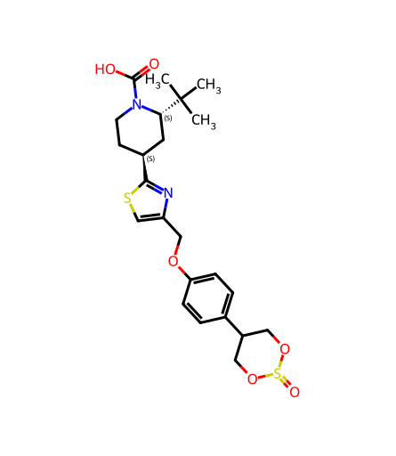 CC(C)(C)[C@@H]1C[C@@H](c2nc(COc3ccc(C4COS(=O)OC4)cc3)cs2)CCN1C(=O)O